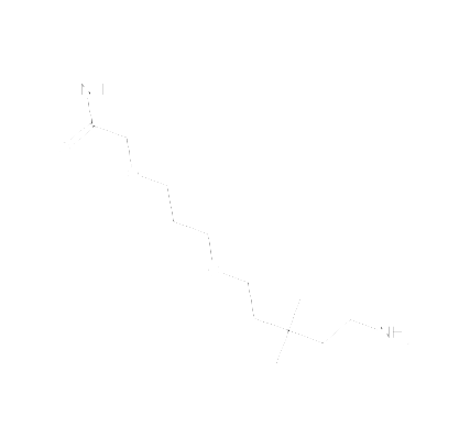 CC(C)(CCN)CCOCCCOCC(N)=O